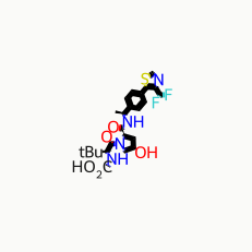 C[C@H](NC(=O)[C@@H]1C[C@@H](O)CN1C(=O)[C@@H](NC(=O)O)C(C)(C)C)c1ccc(-c2scnc2C(F)F)cc1